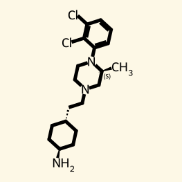 C[C@H]1CN(CC[C@H]2CC[C@H](N)CC2)CCN1c1cccc(Cl)c1Cl